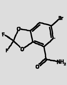 NC(=O)c1[c]c(Br)cc2c1OC(F)(F)O2